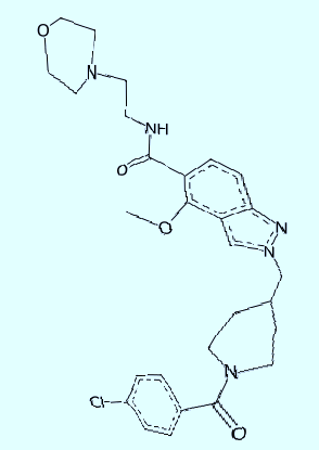 COc1c(C(=O)NCCN2CCOCC2)ccc2nn(CC3CCN(C(=O)c4ccc(Cl)cc4)CC3)cc12